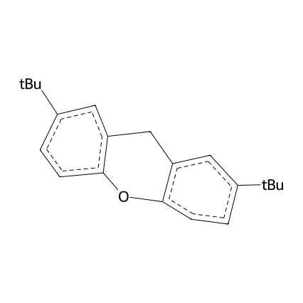 CC(C)(C)c1ccc2c(c1)Cc1cc(C(C)(C)C)ccc1O2